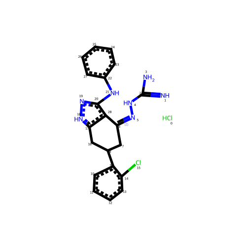 Cl.N=C(N)N/N=C1/CC(c2ccccc2Cl)Cc2[nH]nc(Nc3ccccc3)c21